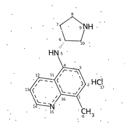 Cc1ccc(N[C@@H]2CCNC2)c2cccnc12.Cl